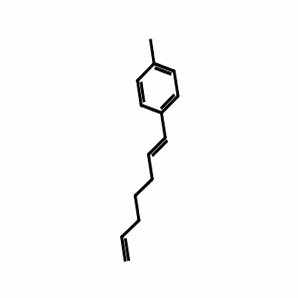 C=CCCCC=Cc1ccc(C)cc1